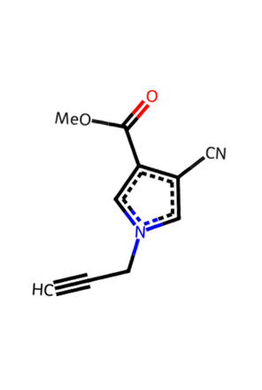 C#CCn1cc(C#N)c(C(=O)OC)c1